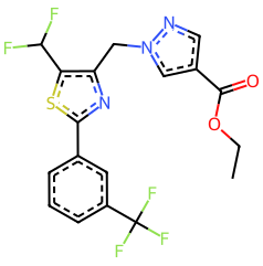 CCOC(=O)c1cnn(Cc2nc(-c3cccc(C(F)(F)F)c3)sc2C(F)F)c1